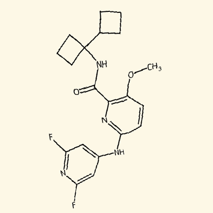 COc1ccc(Nc2cc(F)nc(F)c2)nc1C(=O)NC1(C2CCC2)CCC1